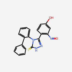 O=Nc1cc(O)ccc1-c1n[nH]c(=S)n1-c1ccccc1-c1ccccc1